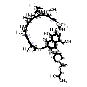 CO[C@H]1/C=C/O[C@@H](C)Oc2c(C)c(O)c3c(c2CO)C2=NC4(CCN(C(=O)OCC(C)C)CC4)NC2=C(NC(=O)/C(C)=C\C=C\[C@H](C)[C@H](O)[C@@H](C)[C@@H](O)[C@@H](C)[C@H](OC(C)=O)[C@@H]1C)C3=O